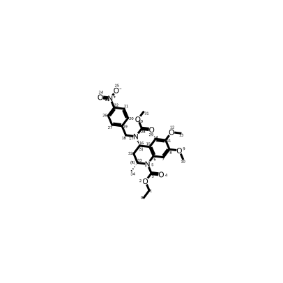 CCOC(=O)N1c2cc(OC)c(OC)cc2[C@@H](N(Cc2ccc([N+](=O)[O-])cc2)C(=O)OC)C[C@H]1C